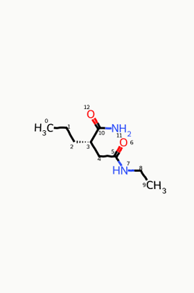 CCC[C@@H](CC(=O)NCC)C(N)=O